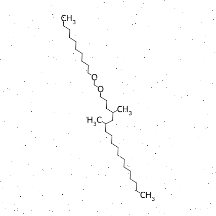 CCCCCCCCCCCCC(C)CC(C)CCCOCOCCCCCCCCCC